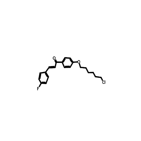 O=C(C=Cc1ccc(F)cc1)c1ccc(OCCCCCCCl)cc1